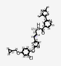 Cc1nc(C)c(-c2cc(C(=O)N[C@@H](C)/C=C/c3cnc(Oc4ccc(OCC5CC5)cc4Cl)s3)ccn2)s1